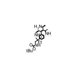 C=C(N)/C(C(C)=N)=C(\C=C/N)c1cccc(C(C)(CC)CNC(=O)OC(C)(C)C)c1